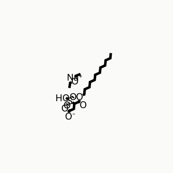 CCCCCCCCCCCCOC(=O)C(CC(=O)[O-])S(=O)(=O)O.CCOCC.[Na+]